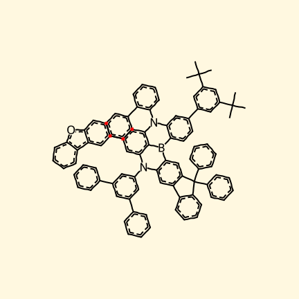 CC(C)(C)c1cc(-c2ccc3c(c2)N(c2ccccc2-c2ccccc2)c2cc(-c4ccc5oc6ccccc6c5c4)cc4c2B3c2cc3c(cc2N4c2cc(-c4ccccc4)cc(-c4ccccc4)c2)-c2ccccc2C3(c2ccccc2)c2ccccc2)cc(C(C)(C)C)c1